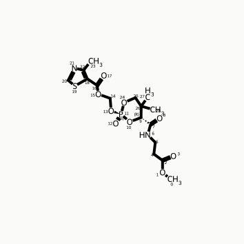 COC(=O)CCNC(=O)[C@@H]1O[P@@](=O)(OCOC(=O)c2scnc2C)OCC1(C)C